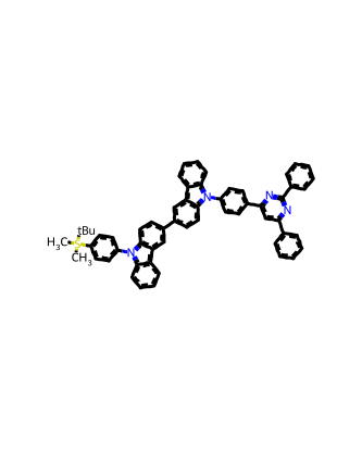 CC(C)(C)S(C)(C)c1ccc(-n2c3ccccc3c3cc(-c4ccc5c(c4)c4ccccc4n5-c4ccc(-c5cc(-c6ccccc6)nc(-c6ccccc6)n5)cc4)ccc32)cc1